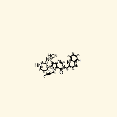 CC#CCn1c(N2CCCNCC2)c(C#N)c2ncn(Cc3cnc4ccccc4n3)c(=O)c21.Cl